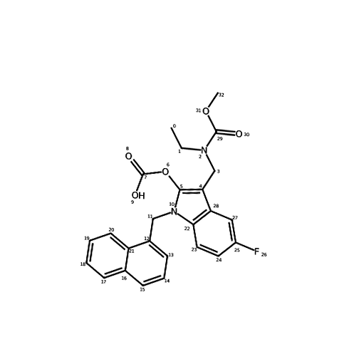 CCN(Cc1c(OC(=O)O)n(Cc2cccc3ccccc23)c2ccc(F)cc12)C(=O)OC